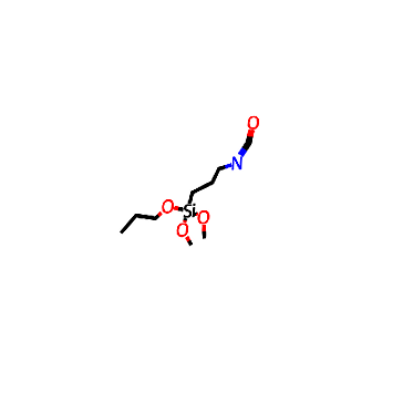 CCCO[Si](CCCN=C=O)(OC)OC